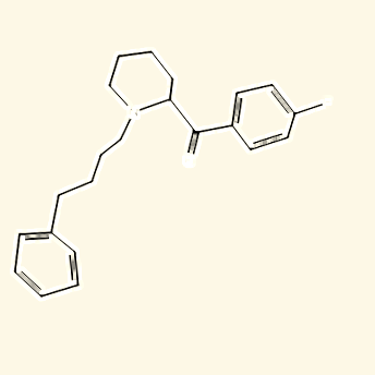 O=C(c1ccc(F)cc1)C1CCCCN1CCCCc1ccccc1